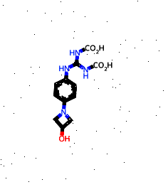 O=C(O)NC(NC(=O)O)Nc1ccc(N2CC(O)C2)cc1